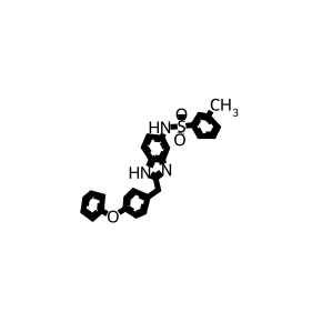 Cc1cccc(S(=O)(=O)Nc2ccc3[nH]c(Cc4ccc(Oc5ccccc5)cc4)nc3c2)c1